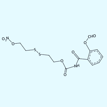 O=COc1ccccc1C(=O)NC(=O)OCCSSCCO[N+](=O)[O-]